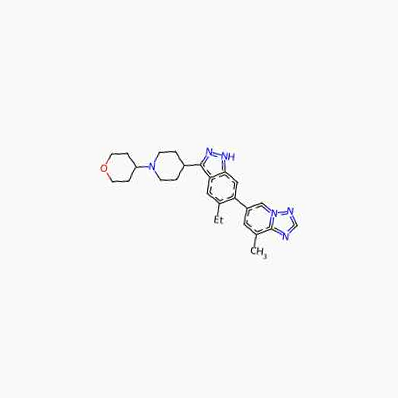 CCc1cc2c(C3CCN(C4CCOCC4)CC3)n[nH]c2cc1-c1cc(C)c2ncnn2c1